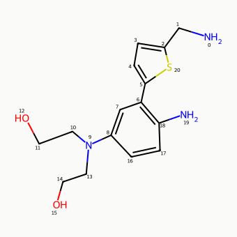 NCc1ccc(-c2cc(N(CCO)CCO)ccc2N)s1